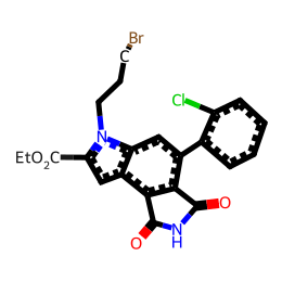 CCOC(=O)c1cc2c3c(c(-c4ccccc4Cl)cc2n1CCCBr)C(=O)NC3=O